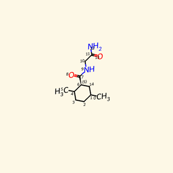 CC1CCC(C)[C@@H](C(=O)NCC(N)=O)C1